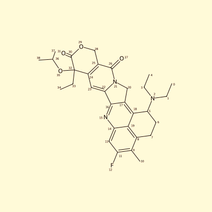 CCN(CC)C1CCc2c(C)c(F)cc3nc4c(c1c23)Cn1c-4cc2c(c1=O)COC(=O)C2(CC)OC(C)C